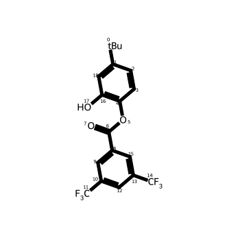 CC(C)(C)c1ccc(OC(=O)c2cc(C(F)(F)F)cc(C(F)(F)F)c2)c(O)c1